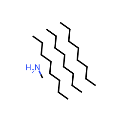 CCCCCCCC.CCCCCCCC.CCCCCCCC.CN